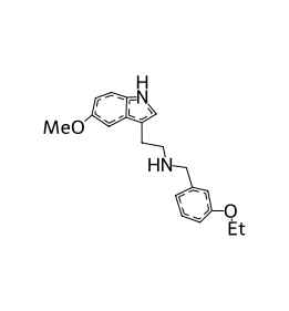 CCOc1cccc(CNCCc2c[nH]c3ccc(OC)cc23)c1